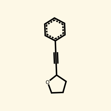 C(#CC1CCCO1)c1ccccc1